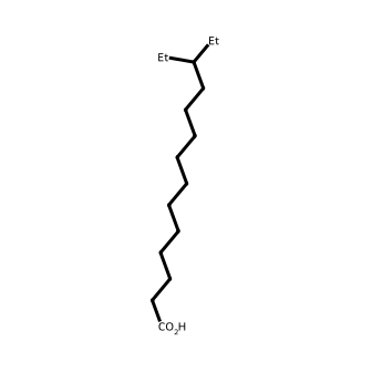 CCC(CC)CCCCCCCCCCC(=O)O